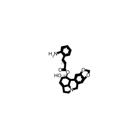 Nc1ccccc1/C=C/C(=O)O[C@@H]1C(O)C=C2CCN3Cc4cc5c(cc4C1C23)OCO5